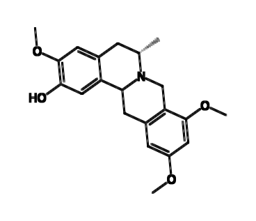 COc1cc2c(c(OC)c1)CN1C(C2)c2cc(O)c(OC)cc2C[C@@H]1C